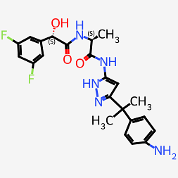 C[C@H](NC(=O)[C@@H](O)c1cc(F)cc(F)c1)C(=O)Nc1cc(C(C)(C)c2ccc(N)cc2)n[nH]1